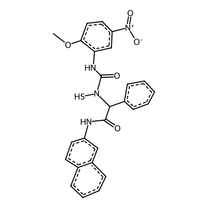 COc1ccc([N+](=O)[O-])cc1NC(=O)N(S)C(C(=O)Nc1ccc2ccccc2c1)c1ccccc1